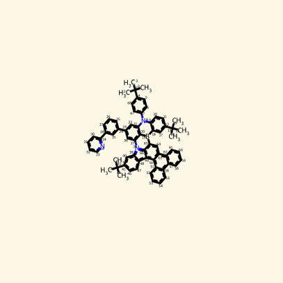 CC(C)(C)c1ccc(N2c3ccc(C(C)(C)C)cc3B3c4c2cc(-c2cccc(-c5ccccn5)c2)cc4-n2c4cc(C(C)(C)C)ccc4c4c5c6ccccc6c6ccccc6c5cc3c42)cc1